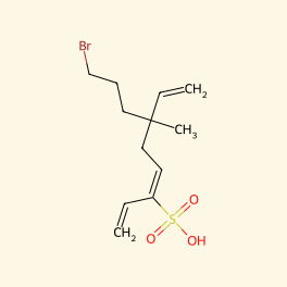 C=C/C(=C\CC(C)(C=C)CCCBr)S(=O)(=O)O